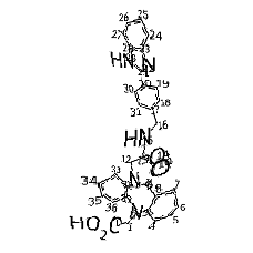 O=C(O)CN1c2ccccc2C(=O)N(CC(=O)NCc2ccc(-c3nc4ccccc4[nH]3)cc2)c2ccccc21